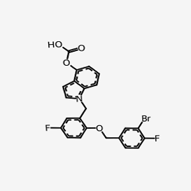 O=C(O)Oc1cccc2c1ccn2Cc1cc(F)ccc1OCc1ccc(F)c(Br)c1